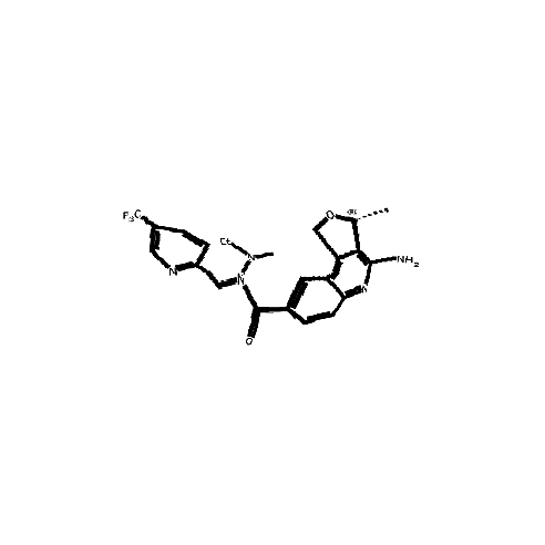 CCN(C)N(Cc1ccc(C(F)(F)F)cn1)C(=O)c1ccc2nc(N)c3c(c2c1)CO[C@@H]3C